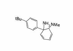 CNC1C=CC=CC1(N)c1ccc(C(C)(C)C)cc1